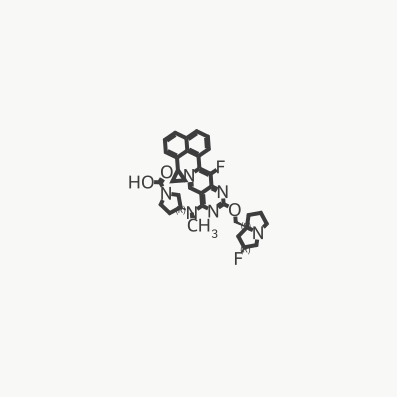 CN(c1nc(OC[C@@]23CCCN2C[C@H](F)C3)nc2c(F)c(-c3cccc4cccc(C5CC5)c34)ncc12)[C@@H]1CCN(C(=O)O)C1